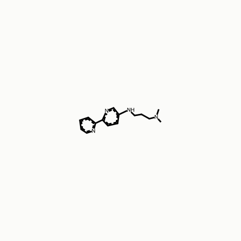 CN(C)CCCNc1ccc(-c2ccccn2)nc1